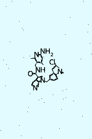 C=Nc1ccc(Cn2cc(C(=O)NCc3c(C)cc(N)nc3C)c3ccncc32)cc1/C=C(\C)Cl